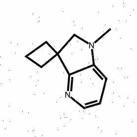 CN1CC2(CCC2)c2ncccc21